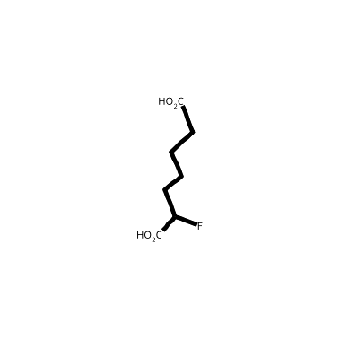 O=C(O)CCCCC(F)C(=O)O